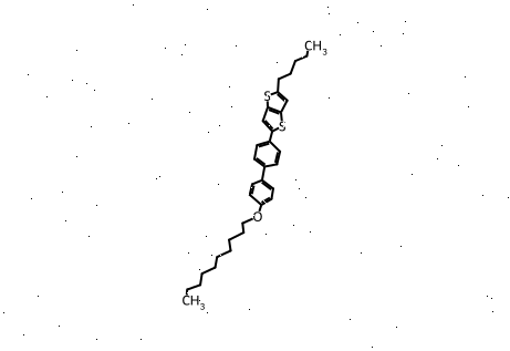 CCCCCCCCCCOc1ccc(-c2ccc(-c3cc4sc(CCCCC)cc4s3)cc2)cc1